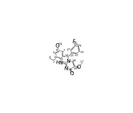 CCc1cc(OC)ccc1Nc1nc(=O)c(OC)cn1Cc1cccc(F)c1